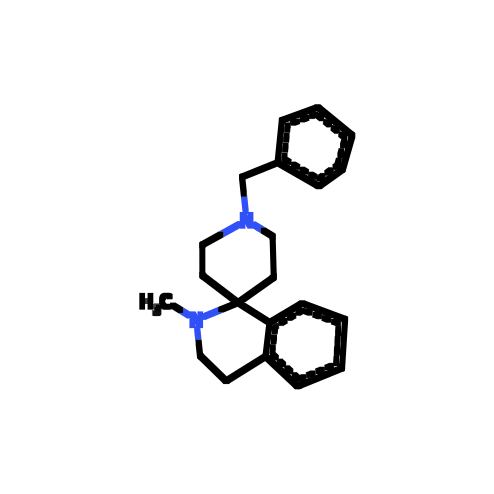 CN1CCc2ccccc2C12CCN(Cc1ccccc1)CC2